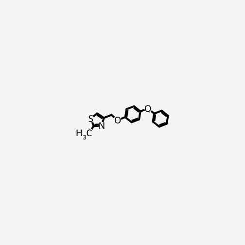 Cc1nc(COc2ccc(Oc3ccccc3)cc2)cs1